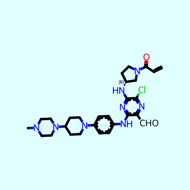 C=CC(=O)N1CC[C@@H](Nc2nc(Nc3ccc(N4CCC(N5CCN(C)CC5)CC4)cc3)c(C=O)nc2Cl)C1